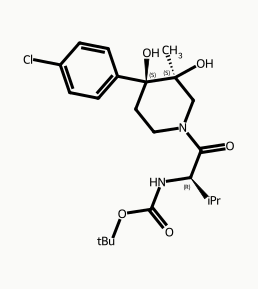 CC(C)[C@@H](NC(=O)OC(C)(C)C)C(=O)N1CC[C@](O)(c2ccc(Cl)cc2)[C@@](C)(O)C1